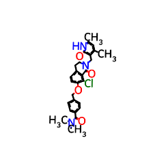 Cc1cc(C)c(CN2CCc3ccc(OCc4ccc(C(=O)N(C)C)cc4)c(Cl)c3C2=O)c(=O)[nH]1